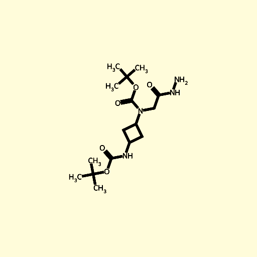 CC(C)(C)OC(=O)NC1CC(N(CC(=O)NN)C(=O)OC(C)(C)C)C1